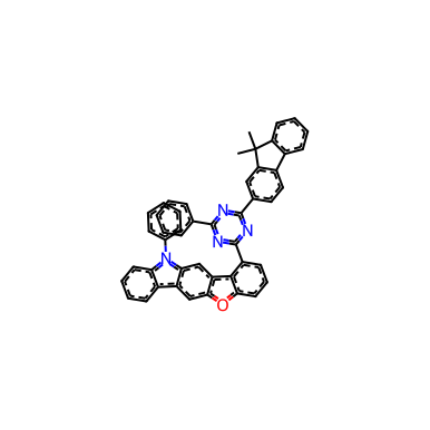 CC1(C)c2ccccc2-c2ccc(-c3nc(-c4ccccc4)nc(-c4cccc5oc6cc7c8ccccc8n(-c8ccccc8)c7cc6c45)n3)cc21